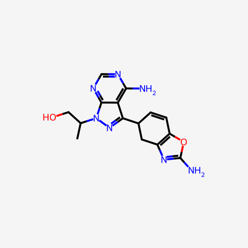 CC(CO)n1nc(C2C=Cc3oc(N)nc3C2)c2c(N)ncnc21